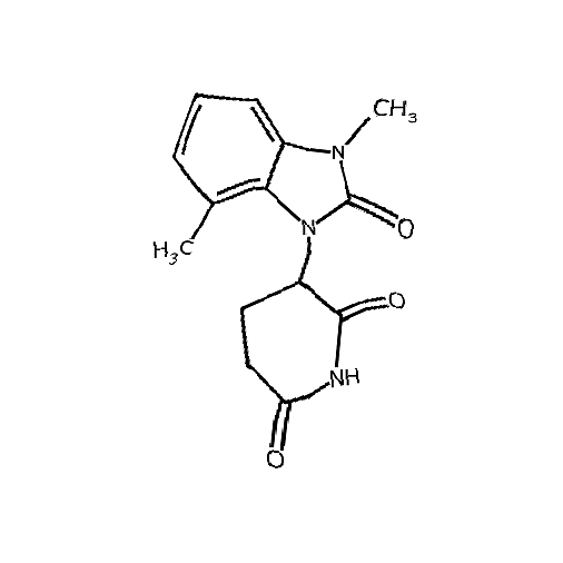 Cc1cccc2c1n(C1CCC(=O)NC1=O)c(=O)n2C